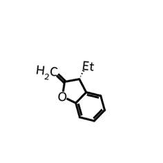 C=C1Oc2ccccc2[C@H]1CC